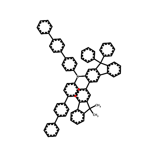 CC1(C)c2ccccc2-c2ccc(-c3cc4c(cc3N(c3ccc(-c5ccc(-c6ccccc6)cc5)cc3)c3ccc(-c5ccc(-c6ccccc6)cc5)cc3)C(c3ccccc3)(c3ccccc3)c3ccccc3-4)cc21